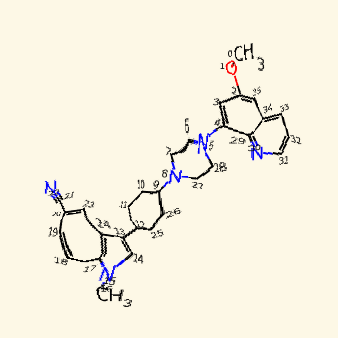 COc1cc(N2CCN(C3CCC(c4cn(C)c5ccc(C#N)cc45)CC3)CC2)c2ncccc2c1